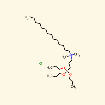 CCCCCCCCCCCCCC[N+](C)(C)CCC[Si](OCCC)(OCCC)OCCC.[Cl-]